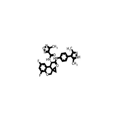 Cc1nonc1C(=O)N[C@H](C(=O)Nc1ccc(-c2c(C)n[nH]c2C)cc1)C1c2cc(F)cc(F)c2OCC12CC2